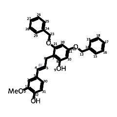 COc1cc(/C=C/Cc2c(O)cc(OCc3ccccc3)cc2OCc2ccccc2)ccc1O